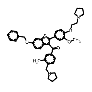 COc1cc(-c2sc3cc(OCc4ccccc4)ccc3c2C(=O)c2ccc(CN3CCCC3)c(C)c2)ccc1OCCN1CCCC1